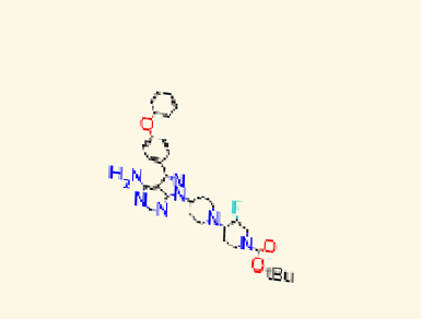 CC(C)(C)OC(=O)N1CC[C@@H](N2CCC(n3nc(-c4ccc(Oc5ccccc5)cc4)c4c(N)ncnc43)CC2)[C@@H](F)C1